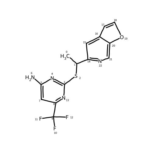 CC(Sc1nc(N)cc(C(F)(F)F)n1)c1cc2ccoc2cn1